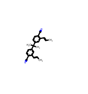 CC=Cc1cc(C(C)(C)c2ccc(C#N)c(C=CC)c2)ccc1C#N